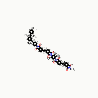 Cc1ccc(C(C)(C)c2cccc(C(C)(C)c3ccc(N4C(=O)c5ccc(C(C)(c6ccc7c(c6)C(=O)N(c6c(C)c(C)c(N8C(=O)c9ccc(C(C)(c%10ccc%11c(c%10)C(=O)N(C)C%11=O)C(F)(F)F)cc9C8=O)c(C)c6C)C7=O)C(F)(F)F)cc5C4=O)cc3)c2)cc1